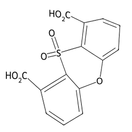 O=C(O)c1cccc2c1S(=O)(=O)c1c(cccc1C(=O)O)O2